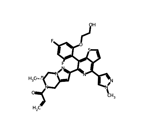 C=CC(=O)N1Cc2cc(-c3nc(-c4cnn(C)c4)c4ccsc4c3-c3c(F)cc(F)cc3OCCO)nn2C[C@H]1C